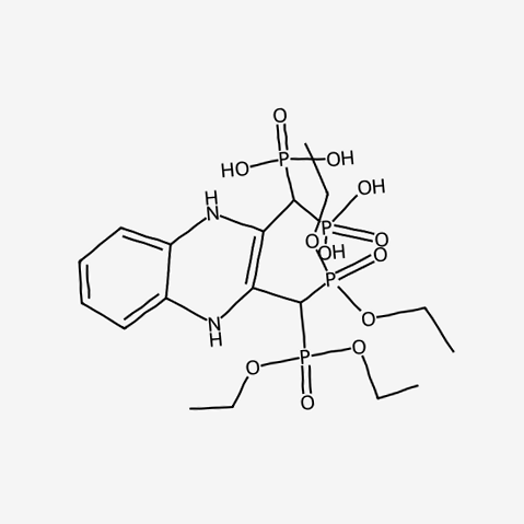 CCOP(=O)(OCC)C(C1=C(C(P(=O)(O)O)P(=O)(O)O)Nc2ccccc2N1)P(=O)(OCC)OCC